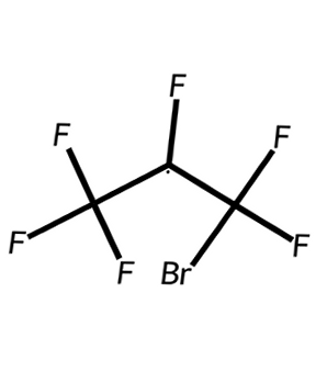 F[C](C(F)(F)F)C(F)(F)Br